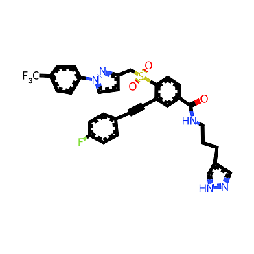 O=C(NCCCc1cn[nH]c1)c1ccc(S(=O)(=O)Cc2ccn(-c3ccc(C(F)(F)F)cc3)n2)c(C#Cc2ccc(F)cc2)c1